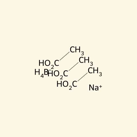 CC(=O)O.CC(=O)O.CC(=O)O.[BH4-].[Na+]